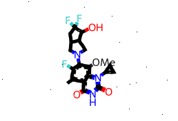 COc1c(N2CC3CC(F)(F)C(O)C3C2)c(F)c(C)c2c(=O)[nH]c(=O)n(C3CC3)c12